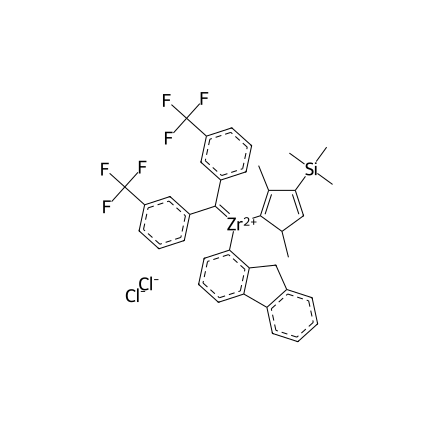 CC1=[C]([Zr+2](=[C](c2cccc(C(F)(F)F)c2)c2cccc(C(F)(F)F)c2)[c]2cccc3c2Cc2ccccc2-3)C(C)C=C1[Si](C)(C)C.[Cl-].[Cl-]